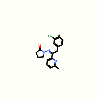 Cc1cccc(/C(Cc2ccc(F)c(Cl)c2)=N\N2CCCC2=O)n1